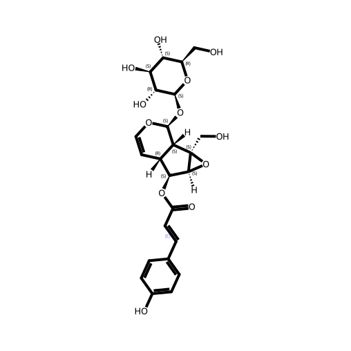 O=C(/C=C/c1ccc(O)cc1)O[C@H]1[C@@H]2C=CO[C@@H](O[C@@H]3O[C@H](CO)[C@@H](O)[C@H](O)[C@H]3O)[C@@H]2[C@@]2(CO)O[C@@H]12